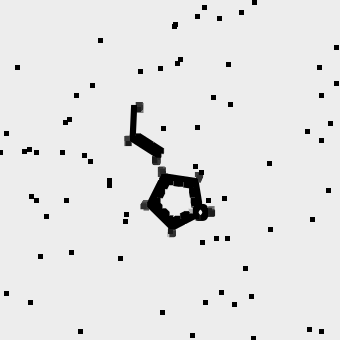 C=CC.c1ccoc1